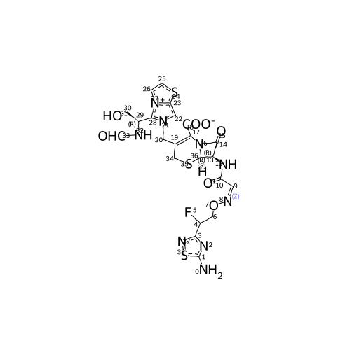 Nc1nc(C(F)CO/N=C\C(=O)N[C@@H]2C(=O)N3C(C(=O)[O-])=C(Cn4cc5scc[n+]5c4[C@H](CO)NC=O)CS[C@H]23)ns1